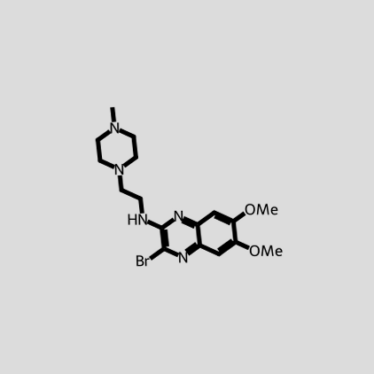 COc1cc2nc(Br)c(NCCN3CCN(C)CC3)nc2cc1OC